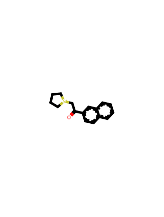 O=C(C[S+]1CCCC1)c1ccc2ccccc2c1